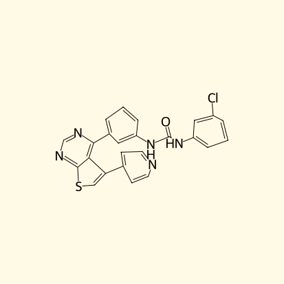 O=C(Nc1cccc(Cl)c1)Nc1cccc(-c2ncnc3scc(-c4ccncc4)c23)c1